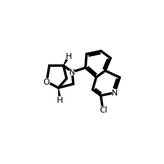 Clc1cc2c(N3C[C@H]4C[C@@H]3CO4)cccc2cn1